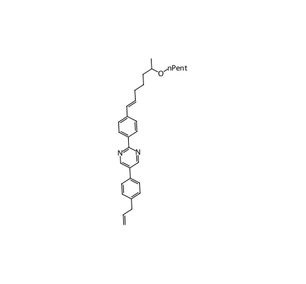 C=CCc1ccc(-c2cnc(-c3ccc(C=CCCCC(C)OCCCCC)cc3)nc2)cc1